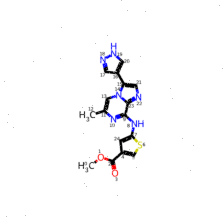 COC(=O)c1csc(Nc2nc(C)cn3c(-c4cn[nH]c4)cnc23)c1